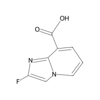 O=C(O)c1cccn2cc(F)nc12